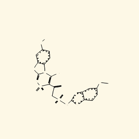 CCOc1ccc2c(c1)SC1=NS(=O)(=O)C(C(=O)CS(=O)(=O)Nc3nc4ccc(OCC)cc4s3)=C(O)N12